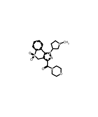 CN1CCC(n2nc(C(=O)N3CCOCC3)c3c2-c2ccccc2S(=O)(=O)C3)C1